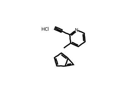 C#Cc1ncccc1C.Cl.c1cc2cc-2c1